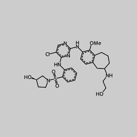 COc1c(Nc2ncc(Cl)c(Nc3ccccc3S(=O)(=O)N3CC[C@@H](O)C3)n2)ccc2c1CCCC(NCCO)C2